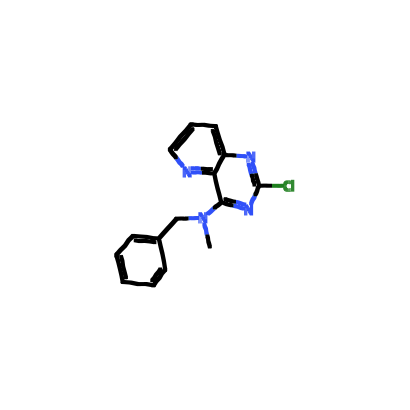 CN(Cc1ccccc1)c1nc(Cl)nc2cccnc12